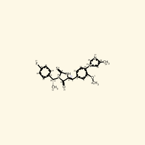 COc1cc(/C=C2\NC(=S)N([C@H](C)c3ccc(F)cc3)C2=O)ccc1-n1cnc(C)c1